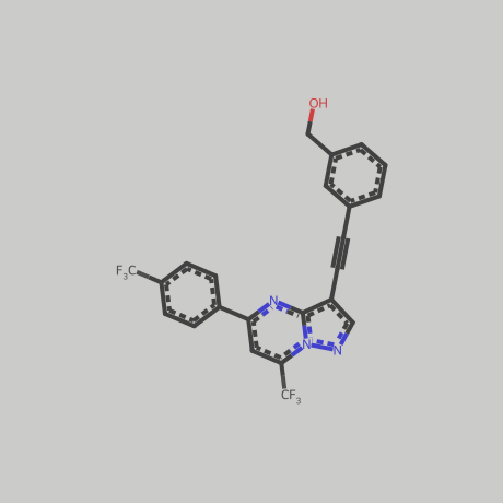 OCc1cccc(C#Cc2cnn3c(C(F)(F)F)cc(-c4ccc(C(F)(F)F)cc4)nc23)c1